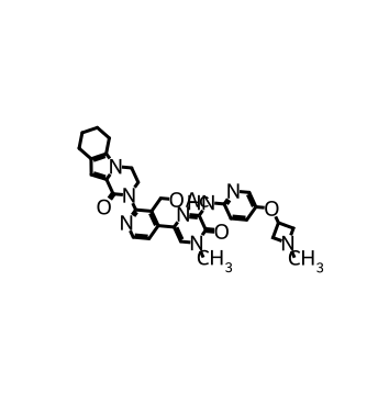 CC(=O)OCc1c(-c2cn(C)c(=O)c(Nc3ccc(OC4CN(C)C4)cn3)n2)ccnc1N1CCn2c(cc3c2CCCC3)C1=O